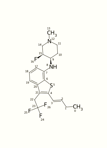 CC/C=C/c1sc2c(N[C@@H]3CCN(C)C[C@@H]3F)cccc2c1CC(F)(F)F